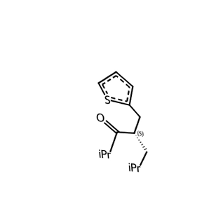 CC(C)C[C@@H](Cc1cccs1)C(=O)C(C)C